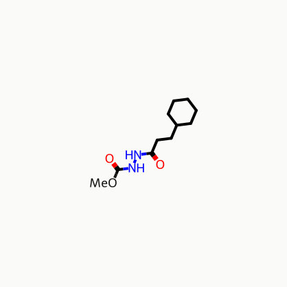 COC(=O)NNC(=O)CCC1CCCCC1